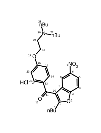 CCCCc1oc2ccc([N+](=O)[O-])cc2c1C(=O)c1ccc(OCCN(CCCC)CCCC)cc1.Cl